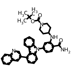 CC(C)(C)OC(=O)N1CCC(Nc2cc(-n3c4ccccc4c4c(-c5cnc6ccccc6c5)cccc43)ccc2C(N)=O)CC1